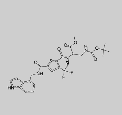 COC(=O)C(CNC(=O)OC(C)(C)C)NC(=O)c1sc(C(=O)NCc2cccc3[nH]ccc23)cc1C(F)(F)F